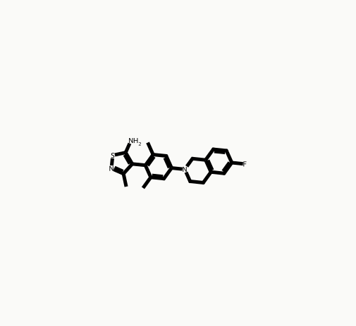 Cc1cc(N2CCc3cc(F)ccc3C2)cc(C)c1-c1c(C)nsc1N